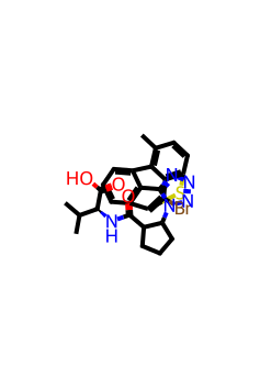 Cc1ccc2sc3c(Br)c2c1-c1cccc-3c1-c1nnnn1C1CCCC1C(=O)N[C@H](C(=O)O)C(C)C